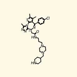 Cc1sc2c(c1C)C(c1ccc(Cl)cc1)=N[C@@H](CC(=O)NCCCN1CCN(CC3CCNCC3)CC1)c1nnc(C)n1-2